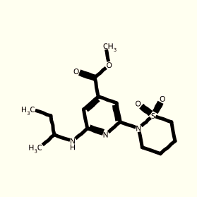 CCC(C)Nc1cc(C(=O)OC)cc(N2CCCCS2(=O)=O)n1